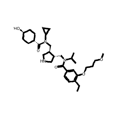 CCc1ccc(C(=O)N(C[C@@H]2CNC[C@H]2CN(C(=O)[C@H]2CC[C@H](O)CC2)C2CC2)C(C)C)cc1OCCCOC